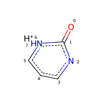 O=c1nccc[nH]1.[H+]